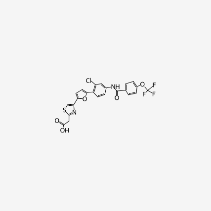 O=C(O)Cc1nc(-c2ccc(-c3ccc(NC(=O)c4ccc(OC(F)(F)F)cc4)cc3Cl)o2)cs1